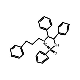 O=S(=O)(NC(c1ccccc1)C(NCCCc1ccccc1)c1ccccc1)c1ccccc1